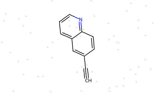 C#Cc1ccc2ncccc2c1